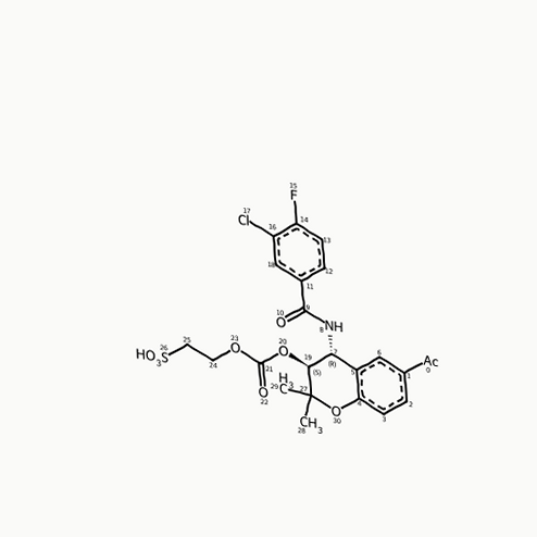 CC(=O)c1ccc2c(c1)[C@@H](NC(=O)c1ccc(F)c(Cl)c1)[C@H](OC(=O)OCCS(=O)(=O)O)C(C)(C)O2